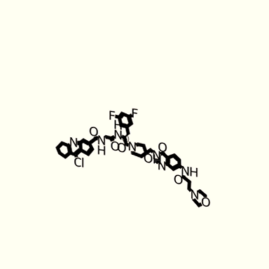 O=C(CCN1CCOCC1)Nc1ccc2c(=O)n(CC3(O)CCN(C(=O)[C@H](Cc4cc(F)cc(F)c4)NC(=O)CNC(=O)c4ccc5c(Cl)c6c(nc5c4)CCCC6)CC3)cnc2c1